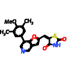 COc1c(C)cc(-c2cncc3cc(C=C4SC(=O)NC4=O)oc23)cc1C